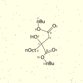 CCCCCCCCC(O)(CC(=O)OCCCC)C(=O)OCCCC